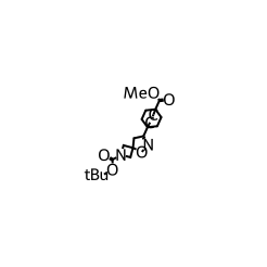 COC(=O)C12CCC(C3=NOC4(C3)CN(C(=O)OC(C)(C)C)C4)(CC1)CC2